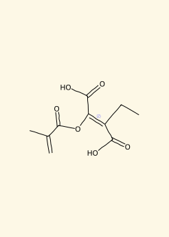 C=C(C)C(=O)O/C(C(=O)O)=C(/CC)C(=O)O